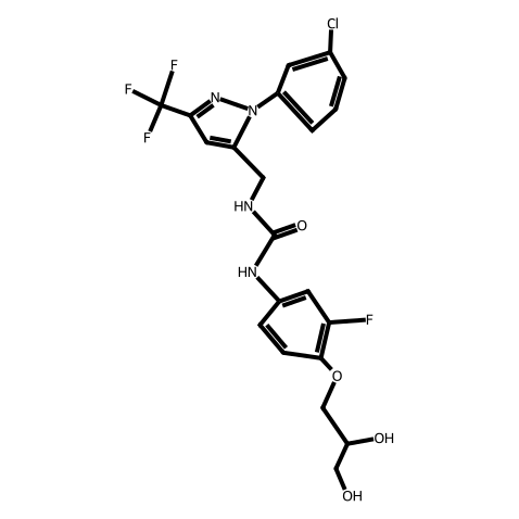 O=C(NCc1cc(C(F)(F)F)nn1-c1cccc(Cl)c1)Nc1ccc(OCC(O)CO)c(F)c1